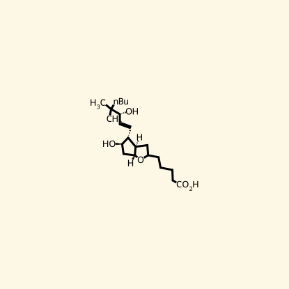 CCCCC(C)(C)[C@H](O)/C=C/[C@@H]1[C@H]2CC(CCCCC(=O)O)O[C@@H]2C[C@H]1O